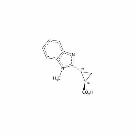 Cn1c([C@@H]2C[C@H]2C(=O)O)nc2ccccc21